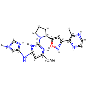 COc1cc(Nc2cn(C)cn2)nc(N2CCC[C@H]2c2cc(-c3nccnc3C)no2)n1